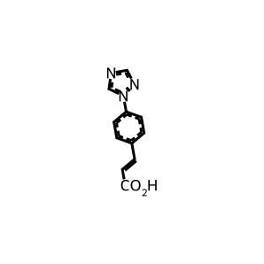 O=C(O)C=Cc1ccc(-n2cncn2)cc1